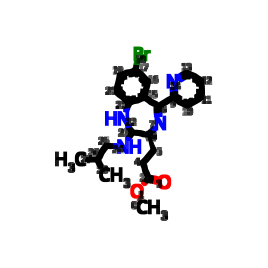 COC(=O)CC[C@@H]1N=C(c2ccccn2)c2cc(Br)ccc2NC1NCC(C)C